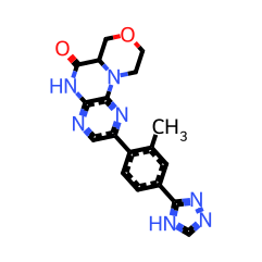 Cc1cc(-c2nnc[nH]2)ccc1-c1cnc2c(n1)N1CCOCC1C(=O)N2